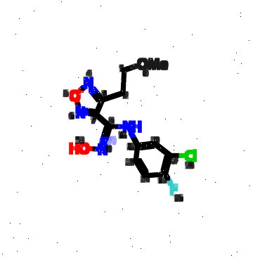 COCCc1nonc1/C(=N\O)Nc1ccc(F)c(Cl)c1